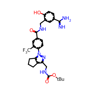 CC(C)(C)OC(=O)NCc1nn(-c2ccc(C(=O)NCc3cc(C(=N)N)ccc3O)cc2C(F)(F)F)c2c1CCC2